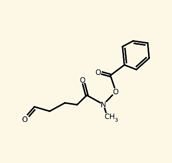 CN(OC(=O)c1ccccc1)C(=O)CCCC=O